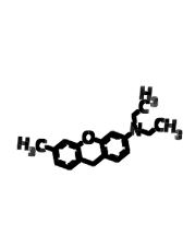 CCN(CC)c1ccc2c(c1)Oc1cc(C)ccc1C2